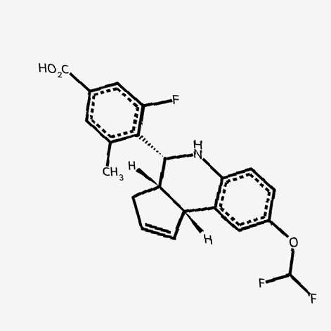 Cc1cc(C(=O)O)cc(F)c1[C@@H]1Nc2ccc(OC(F)F)cc2[C@@H]2C=CC[C@@H]21